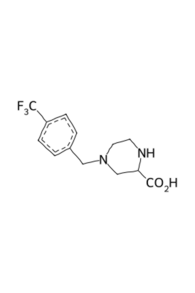 O=C(O)C1CN(Cc2ccc(C(F)(F)F)cc2)CCN1